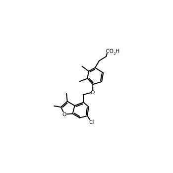 Cc1oc2cc(Cl)cc(COc3ccc(CCC(=O)O)c(C)c3C)c2c1C